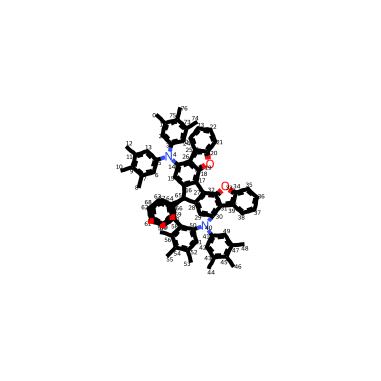 Cc1cc(N(c2cc(C)c(C)c(C)c2)c2cc3c(c4oc5ccccc5c24)-c2c4cc(c5c2oc2ccccc25)N(c2cc(C)c(C)c(C)c2)c2cc(C)c(C)c(C)c2-c2ccccc2C34c2ccccc2)cc(C)c1C